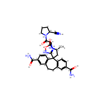 C[C@@H](CC1(c2nc(=O)o[nH]2)c2ccc(C(N)=O)cc2CCc2cc(C(N)=O)ccc21)NCC(=O)N1CCCC1C#N